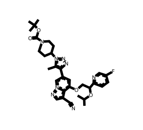 Cc1c(-c2cc(OCC(OC(C)C)c3ccc(F)cn3)c3c(C#N)cnn3c2)nnn1C1CCN(C(=O)OC(C)(C)C)CC1